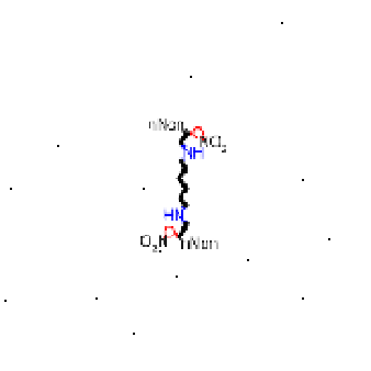 CCCCCCCCCC(CNCCCCCCNCC(CCCCCCCCC)O[N+](=O)[O-])O[N+](=O)[O-]